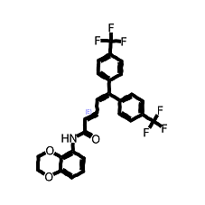 O=C(/C=C/C=C(c1ccc(C(F)(F)F)cc1)c1ccc(C(F)(F)F)cc1)Nc1cccc2c1OCCO2